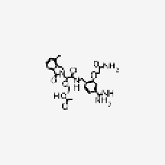 CC(=O)O.CCOC(C(=O)NCc1ccc(C(=N)N)cc1OCC(N)=O)N1Cc2c(C)cccc2C1=O